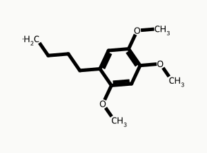 [CH2]CCCc1cc(OC)c(OC)cc1OC